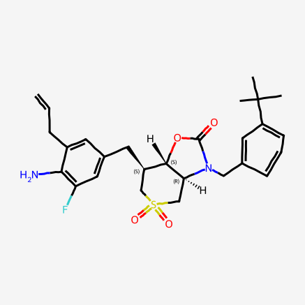 C=CCc1cc(C[C@@H]2CS(=O)(=O)C[C@H]3[C@H]2OC(=O)N3Cc2cccc(C(C)(C)C)c2)cc(F)c1N